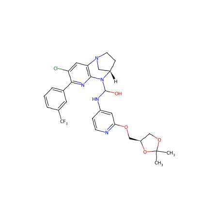 CC1(C)OC[C@H](COc2cc(NC(O)N3c4nc(-c5cccc(C(F)(F)F)c5)c(Cl)cc4N4CC[C@H]3C4)ccn2)O1